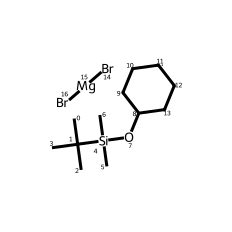 CC(C)(C)[Si](C)(C)OC1CC[CH]CC1.[Br][Mg][Br]